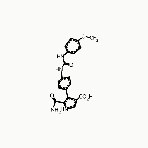 NC(=O)c1[nH]cc(C(=O)O)c1-c1ccc(NC(=O)Nc2ccc(OC(F)(F)F)cc2)cc1